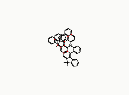 CC1(C)c2ccccc2-c2c(-c3ccccc3N(c3ccccc3-c3cccc4cccc(-c5ccccc5)c34)c3cccc4c3-c3ccccc3C4(C)c3ccccc3)cccc21